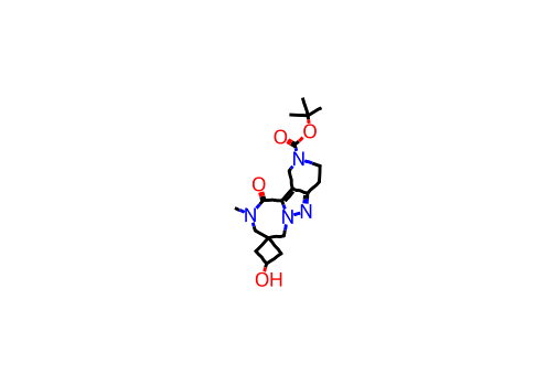 CN1CC2(CC(O)C2)Cn2nc3c(c2C1=O)CN(C(=O)OC(C)(C)C)CC3